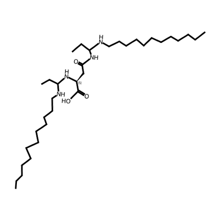 CCCCCCCCCCCCNC(CC)NC(=O)C[C@H](NC(CC)NCCCCCCCCCCCC)C(=O)O